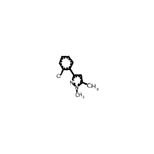 Cc1cc(-c2ccccc2Cl)nn1C